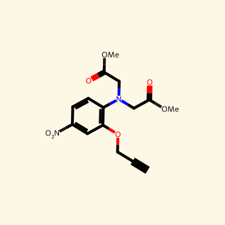 C#CCOc1cc([N+](=O)[O-])ccc1N(CC(=O)OC)CC(=O)OC